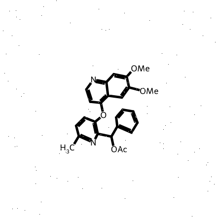 COc1cc2nccc(Oc3ccc(C)nc3C(OC(C)=O)c3ccccc3)c2cc1OC